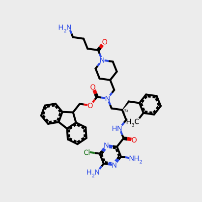 Cc1ccccc1C[C@@H](CNC(=O)c1nc(Cl)c(N)nc1N)CN(CC1CCN(C(=O)CCCN)CC1)C(=O)OCC1c2ccccc2-c2ccccc21